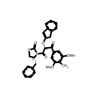 COc1cc(C(=O)[C@@H](OC2=Cc3ccccc3C2)C(=O)N2C(=O)OC[C@H]2Cc2ccccc2)cc(OC)c1C